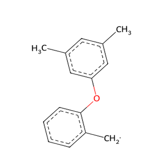 [CH2]c1ccccc1Oc1cc(C)cc(C)c1